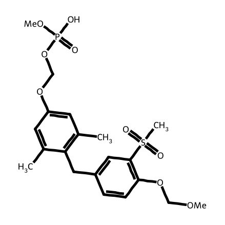 COCOc1ccc(Cc2c(C)cc(OCOP(=O)(O)OC)cc2C)cc1S(C)(=O)=O